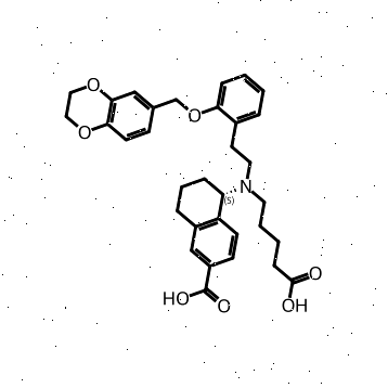 O=C(O)CCCCN(CCc1ccccc1OCc1ccc2c(c1)OCCO2)[C@H]1CCCc2cc(C(=O)O)ccc21